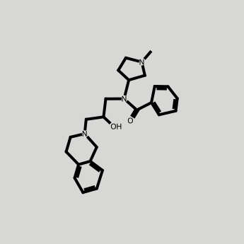 CN1CCC(N(CC(O)CN2CCc3ccccc3C2)C(=O)c2ccccc2)C1